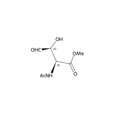 COC(=O)[C@@H](NC(C)=O)[C@H](O)C=O